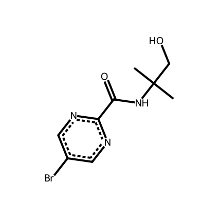 CC(C)(CO)NC(=O)c1ncc(Br)cn1